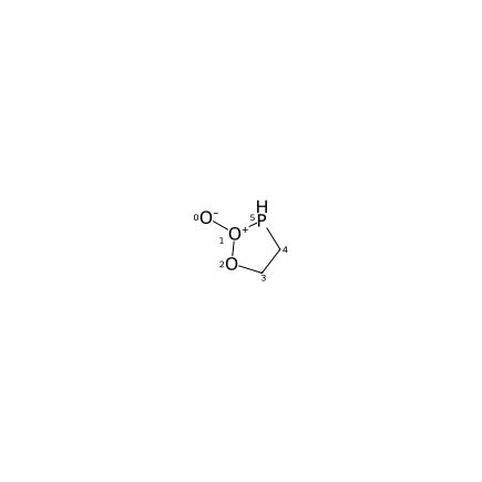 [O-][O+]1OCCP1